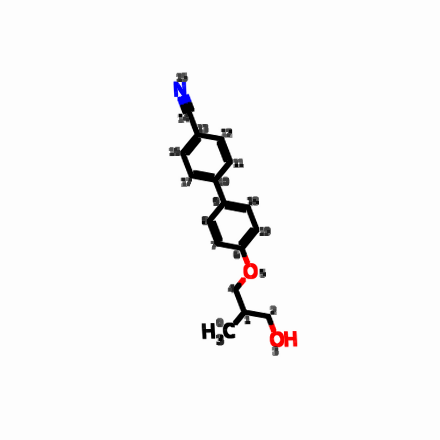 CC(CO)COc1ccc(-c2ccc(C#N)cc2)cc1